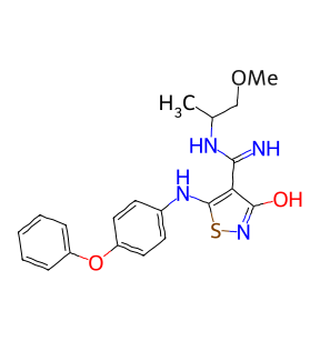 COCC(C)NC(=N)c1c(O)nsc1Nc1ccc(Oc2ccccc2)cc1